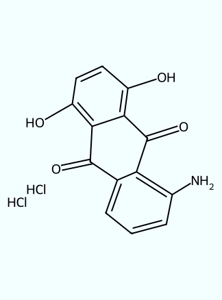 Cl.Cl.Nc1cccc2c1C(=O)c1c(O)ccc(O)c1C2=O